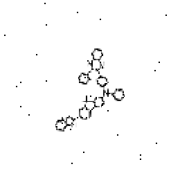 CC1(C)c2cc(-c3cn4ccccc4n3)ccc2-c2ccc(N(c3ccccc3)c3ccc(-c4nc5ccccc5nc4-c4ccccc4)cc3)cc21